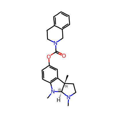 CN1CC[C@@]2(C)c3cc(OC(=O)N4CCc5ccccc5C4)ccc3N(C)[C@H]12